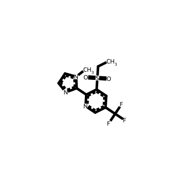 CCS(=O)(=O)c1cc(C(F)(F)F)cnc1-c1nccn1C